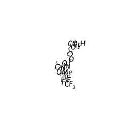 CCOC(Cc1ccc(OCCN(CCCCC(F)(F)C(F)(F)C(F)(F)F)C(=O)Nc2cc(C)ccc2OC)cc1)C(=O)O